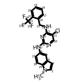 Cn1ccc2cc(Nc3ncc(Cl)c(NCc4ccccc4C(F)(F)F)n3)ccc21